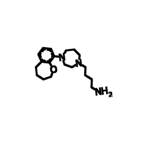 NCCCCN1CCCN(c2cccc3c2OCCCC3)CC1